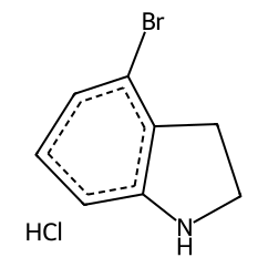 Brc1cccc2c1CCN2.Cl